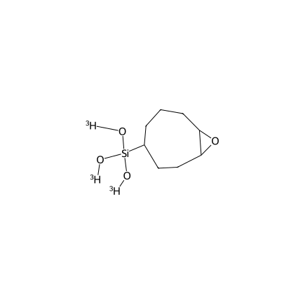 [3H]O[Si](O[3H])(O[3H])C1CCCC2OC2CC1